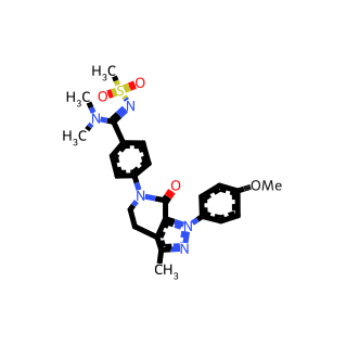 COc1ccc(-n2nc(C)c3c2C(=O)N(c2ccc(C(=NS(C)(=O)=O)N(C)C)cc2)CC3)cc1